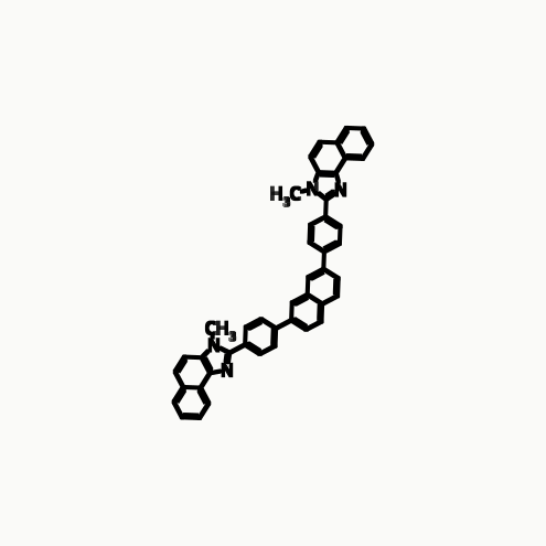 Cn1c(-c2ccc(-c3ccc4ccc(-c5ccc(-c6nc7c8ccccc8ccc7n6C)cc5)cc4c3)cc2)nc2c3ccccc3ccc21